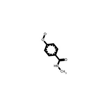 CNC(=O)c1ccc(O[O])cc1